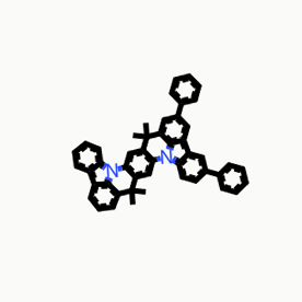 CC1(C)c2cc3c(cc2-n2c4ccccc4c4cccc1c42)C(C)(C)c1cc(-c2ccccc2)cc2c4cc(-c5ccccc5)ccc4n-3c12